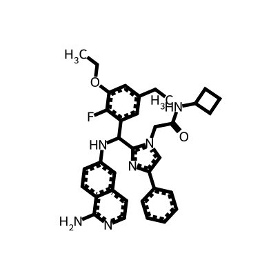 CCOc1cc(CC)cc(C(Nc2ccc3c(N)nccc3c2)c2nc(-c3ccccc3)cn2CC(=O)NC2CCC2)c1F